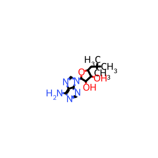 CC(C)(C)CC1OC(n2cnc3c(N)ncnc32)C(O)C1O